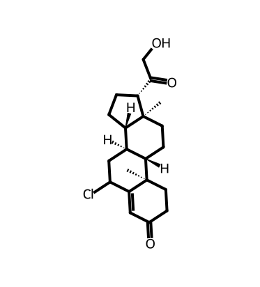 C[C@]12CC[C@H]3[C@@H](CC(Cl)C4=CC(=O)CC[C@@]43C)[C@@H]1CC[C@@H]2C(=O)CO